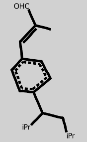 CC(C=O)=Cc1ccc(C(CC(C)C)C(C)C)cc1